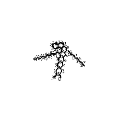 CCCCCCCCCCC(CCCCCCCC)Cc1ccc2ccccc2c1CC(CCCCCCCC)CCCCCCCCCC